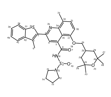 Cc1c(-c2cc(C(=O)N[S+]([O-])N3CCCC3)c3c(OCC4CC(C)(C)OC(C)(C)C4)ccc(C)c3n2)sc2ccccc12